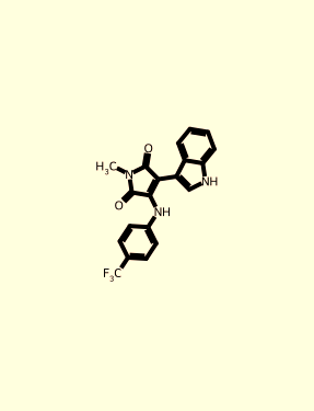 CN1C(=O)C(Nc2ccc(C(F)(F)F)cc2)=C(c2c[nH]c3ccccc23)C1=O